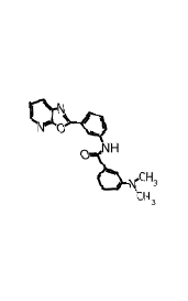 CN(C)C1=CCCC(C(=O)Nc2cccc(-c3nc4cccnc4o3)c2)=C1